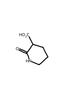 O=C(O)C1CCCNC1=O